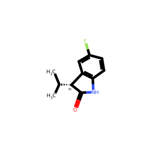 CC(C)[C@H]1C(=O)Nc2ccc(F)cc21